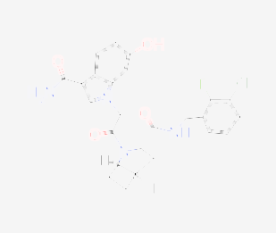 NC(=O)c1cn(CC(=O)N2[C@@H]3CC[C@@H]3C[C@H]2C(=O)NCc2cccc(Cl)c2F)c2cc(O)ccc12